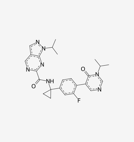 CC(C)n1cncc(-c2ccc(C3(NC(=O)c4ncc5cnn(C(C)C)c5n4)CC3)cc2F)c1=O